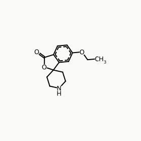 CCOc1ccc2c(c1)C1(CCNCC1)OC2=O